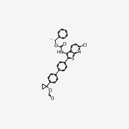 C[C@@H](OC(=O)Nc1c(-c2ccc(-c3ccc(C4(OC=O)CC4)cc3)cc2)sc2nc(Cl)ccc12)c1ccccc1